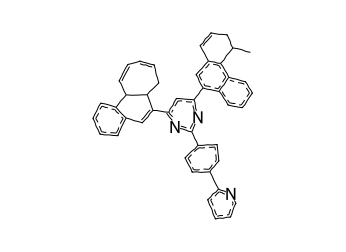 CC1CC=Cc2cc(-c3cc(C4=Cc5ccccc5C5C=CC=CCC45)nc(-c4ccc(-c5ccccn5)cc4)n3)c3ccccc3c21